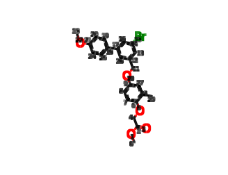 COC(=O)COc1ccc(OCc2cc(Br)cc(-c3ccc(OC)cc3)c2)cc1C